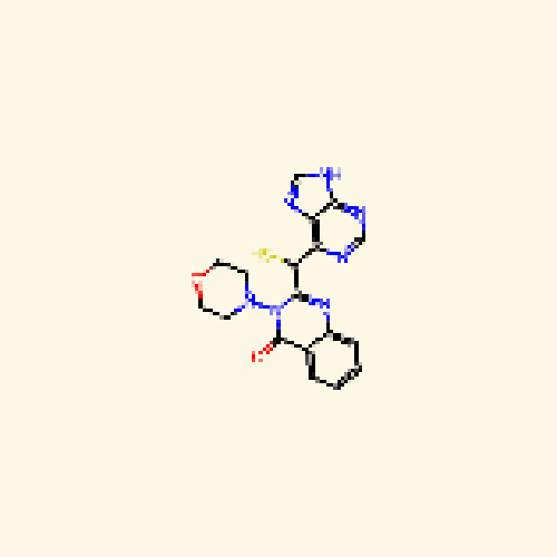 O=c1c2ccccc2nc(C(S)c2ncnc3[nH]cnc23)n1N1CCOCC1